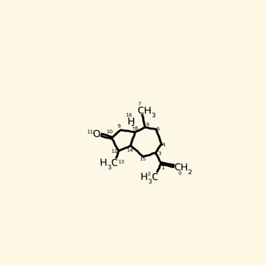 C=C(C)C1CCC(C)[C@@H]2CC(=O)C(C)C2C1